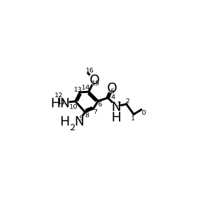 CCCNC(=O)c1cc(N)c(NC)cc1OC